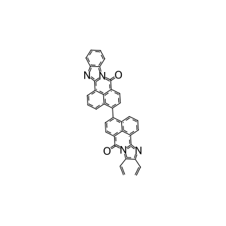 C=Cc1nc2c3cccc4c(-c5ccc6c(=O)n7c8ccccc8nc7c7cccc5c67)ccc(c(=O)n2c1C=C)c43